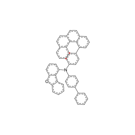 c1ccc(-c2ccc(N(c3ccc(-c4cccc5ccc6ccc7ccccc7c6c45)cc3)c3cccc4oc5ccccc5c34)cc2)cc1